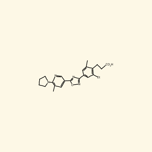 CCc1cc(-c2noc(-c3cnc(N4CCCC4)c(C)c3)n2)cc(C)c1CCC(=O)O